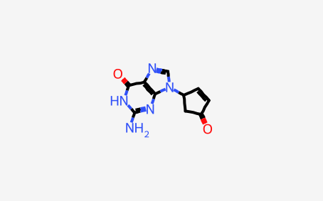 Nc1nc2c(ncn2C2C=CC(=O)C2)c(=O)[nH]1